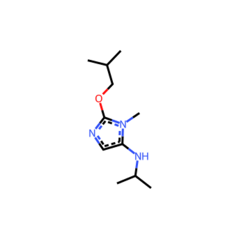 CC(C)COc1ncc(NC(C)C)n1C